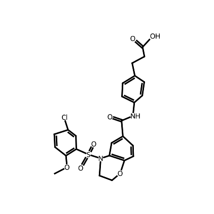 COc1ccc(Cl)cc1S(=O)(=O)N1CCOc2ccc(C(=O)Nc3ccc(CCC(=O)O)cc3)cc21